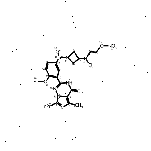 CCCc1nc(C)c2c(=O)[nH]c(-c3cc([S+]([O-])N4CC(N(C)CCO[N+](=O)[O-])C4)ccc3OCC)nn12